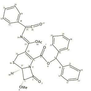 CO[C@H]1C(=O)N2C(C(=O)OC(c3ccccc3)c3ccccc3)=C(C(=NC(=C=O)c3ccccc3)OC(C)=O)CS[C@H]12